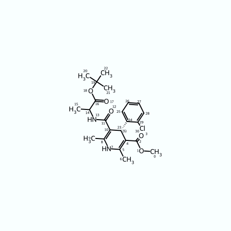 COC(=O)C1=C(C)NC(C)=C(C(=O)NC(C)C(=O)OC(C)(C)C)[C@@H]1c1ccccc1Cl